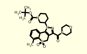 Cc1cccc2c1S(=O)(=O)Cc1c(C(=O)N3CCOCC3)nn(C3CCCN(C(=O)OC(C)(C)C)C3)c1-2